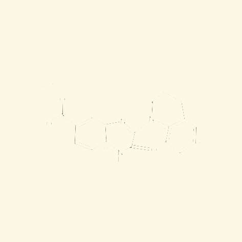 COC(=O)C1=CC2N=C(N3CCCc4ccccc43)C(=O)NC2C=C1